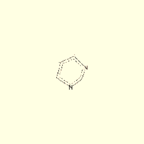 [c]1[c]ncnc1